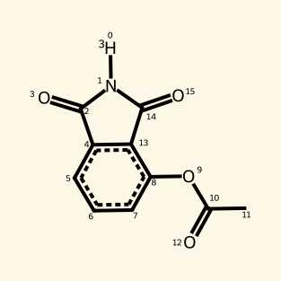 [3H]N1C(=O)c2cccc(OC(C)=O)c2C1=O